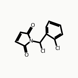 O=C1C=CC(=O)N1C(Cl)c1ccccc1Cl